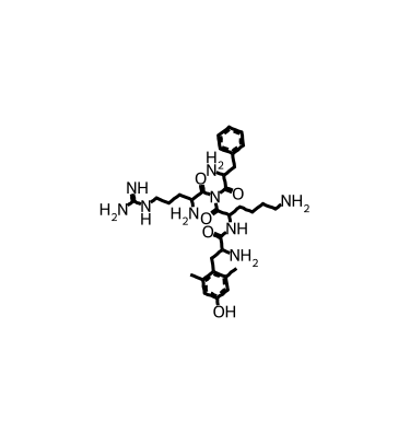 Cc1cc(O)cc(C)c1CC(N)C(=O)NC(CCCCN)C(=O)N(C(=O)C(N)CCCNC(=N)N)C(=O)C(N)Cc1ccccc1